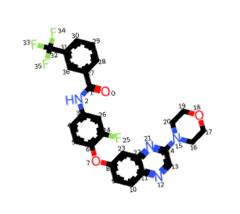 O=C(Nc1ccc(Oc2ccc3ncc(N4CCOCC4)nc3c2)c(F)c1)c1cccc(C(F)(F)F)c1